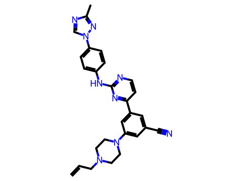 C=CCN1CCN(c2cc(C#N)cc(-c3ccnc(Nc4ccc(-n5cnc(C)n5)cc4)n3)c2)CC1